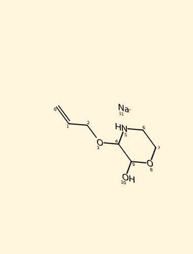 C=CCOC1NCCOC1O.[Na]